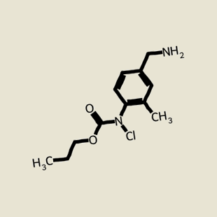 CCCOC(=O)N(Cl)c1ccc(CN)cc1C